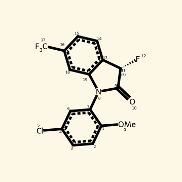 COc1ccc(Cl)cc1N1C(=O)[C@@H](F)c2ccc(C(F)(F)F)cc21